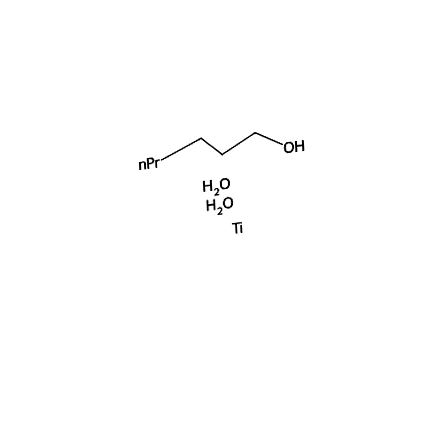 CCCCCCO.O.O.[Ti]